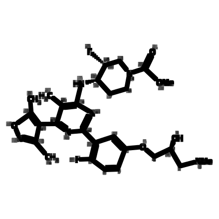 CNC[C@H](O)COc1ccc(F)c(-c2nc(N[C@H]3CCN(C(=O)OC)C[C@H]3F)c(C)c(-c3c(C)noc3C)n2)c1